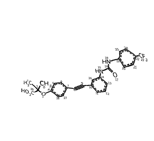 CC(C)(Oc1ccc(C#Cc2cccc(NC(=O)Nc3ccc(C(F)(F)F)cc3)c2)cc1)C(=O)O